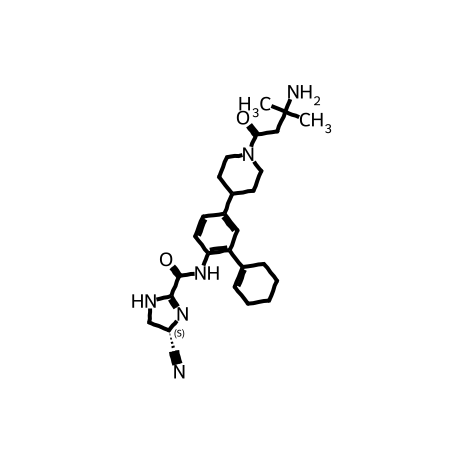 CC(C)(N)CC(=O)N1CCC(c2ccc(NC(=O)C3=N[C@H](C#N)CN3)c(C3=CCCCC3)c2)CC1